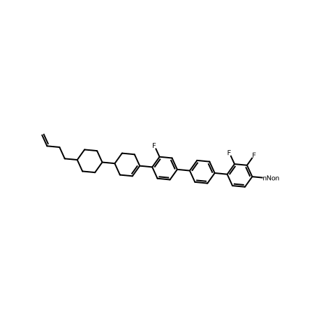 C=CCCC1CCC(C2CC=C(c3ccc(-c4ccc(-c5ccc(CCCCCCCCC)c(F)c5F)cc4)cc3F)CC2)CC1